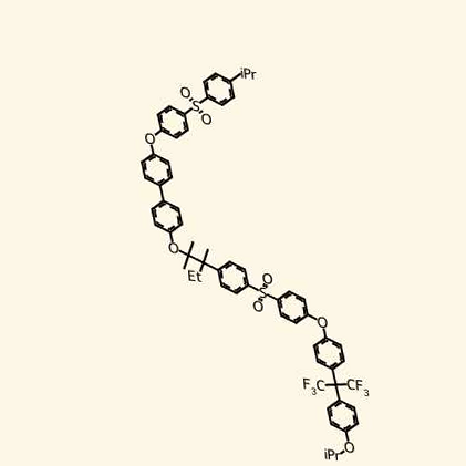 CCC(C)(c1ccc(S(=O)(=O)c2ccc(Oc3ccc(C(c4ccc(OC(C)C)cc4)(C(F)(F)F)C(F)(F)F)cc3)cc2)cc1)C(C)(C)Oc1ccc(-c2ccc(Oc3ccc(S(=O)(=O)c4ccc(C(C)C)cc4)cc3)cc2)cc1